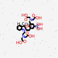 CC1(C)c2ccccc2N(CCN(CC(=O)O)CC(=O)O)C12C=Cc1cc(N(O)O)cc(CN(CC(=O)O)CC(=O)O)c1O2